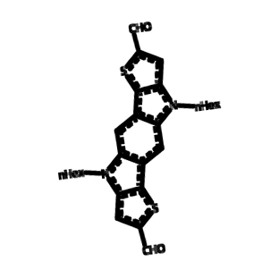 CCCCCCn1c2cc3c4sc(C=O)cc4n(CCCCCC)c3cc2c2sc(C=O)cc21